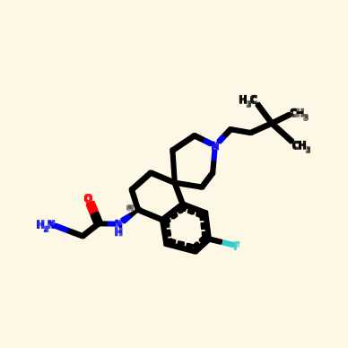 CC(C)(C)CCN1CCC2(CC[C@H](NC(=O)CN)c3ccc(F)cc32)CC1